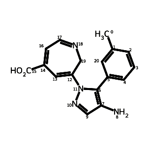 Cc1cccc(-c2c(N)cnn2C2=CC(C(=O)O)=CC=NC2)c1